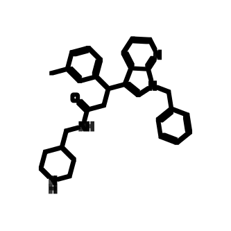 Cc1cccc(C(CC(=O)NCC2CCNCC2)c2cn(Cc3ccccc3)c3ncccc23)c1